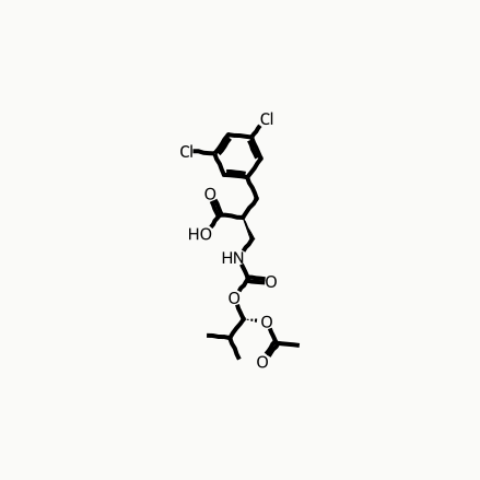 CC(=O)O[C@@H](OC(=O)NC[C@H](Cc1cc(Cl)cc(Cl)c1)C(=O)O)C(C)C